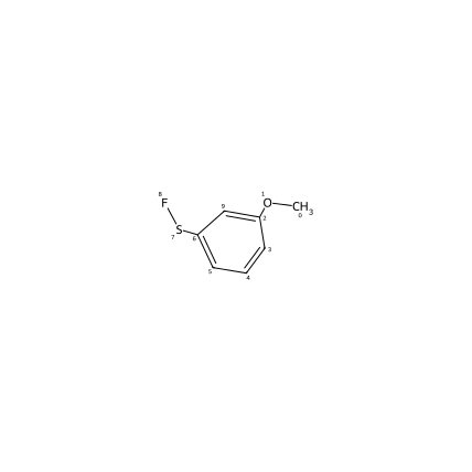 COc1cccc(SF)c1